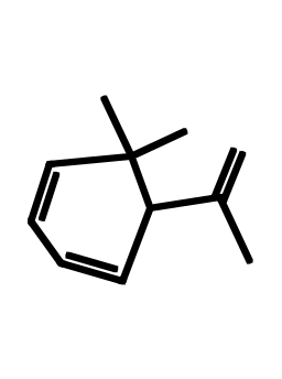 C=C(C)C1C=CC=CC1(C)C